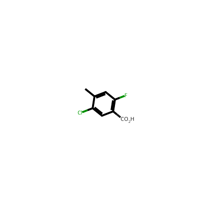 Cc1cc(F)c(C(=O)O)cc1Cl